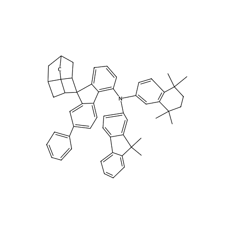 CC1(C)CCC(C)(C)c2cc(N(c3ccc4c(c3)C(C)(C)c3ccccc3-4)c3cccc4c3-c3ccc(-c5ccccc5)cc3C43C4CC5CC6CC3C64C5)ccc21